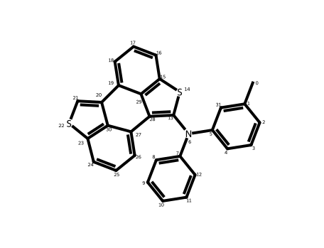 Cc1cccc(N(c2ccccc2)c2sc3cccc4c5csc6cccc(c2c34)c65)c1